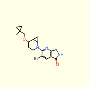 CCc1cc2c(nc1N1CCC(OCC3(C)CC3)C3CC31)CNC2=O